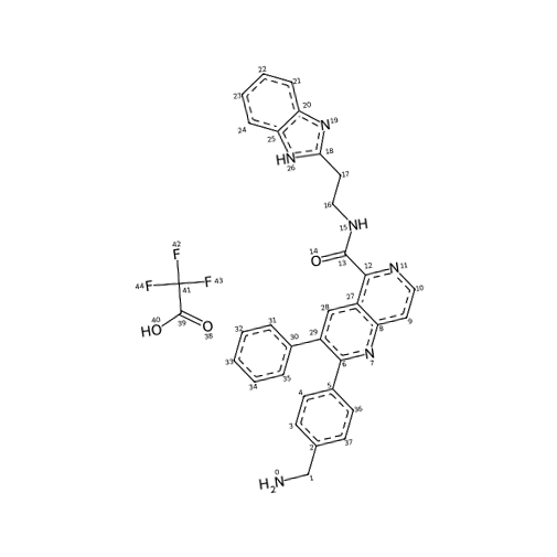 NCc1ccc(-c2nc3ccnc(C(=O)NCCc4nc5ccccc5[nH]4)c3cc2-c2ccccc2)cc1.O=C(O)C(F)(F)F